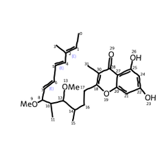 C/C=C(C)/C=C/C=C/C(OC)C(C)C(OC)C(C)CCc1oc2cc(O)cc(O)c2c(=O)c1C